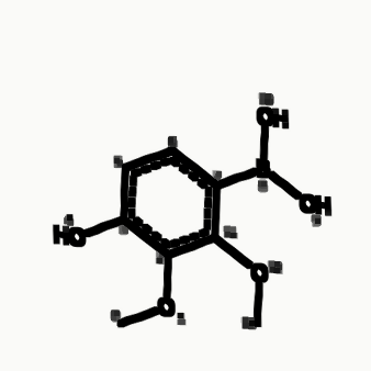 COc1c(O)ccc(B(O)O)c1OC